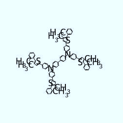 Cc1ccccc1-c1sc(-c2ccc(N(c3ccc(-c4ccc(N(c5ccc(-c6cc(C)c(-c7ccccc7C)s6)cc5)c5ccc(-c6cc(C)c(-c7ccccc7C)s6)cc5)cc4)cc3)c3ccc(-c4cc(C)c(-c5ccccc5C)s4)cc3)cc2)cc1C